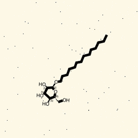 CCCCCCCCCCCCCCO[C@H]1O[C@H](CO)[C@@H](O)[C@H](O)[C@@H]1O